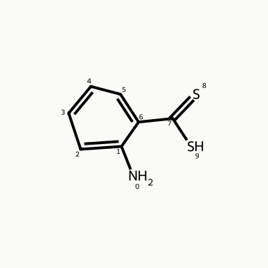 Nc1ccccc1C(=S)S